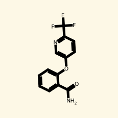 NC(=O)c1ccccc1Oc1ccc(C(F)(F)F)nc1